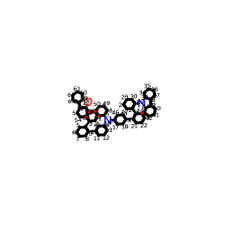 c1ccc(-c2ccccc2-c2cccc(N(c3ccc(-c4ccccc4-c4ccccc4-n4c5ccccc5c5ccccc54)cc3)c3cccc(-c4cccc5c4oc4ccccc45)c3)c2)cc1